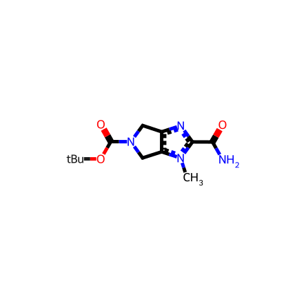 Cn1c(C(N)=O)nc2c1CN(C(=O)OC(C)(C)C)C2